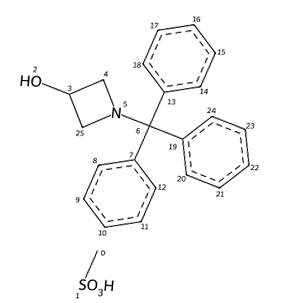 CS(=O)(=O)O.OC1CN(C(c2ccccc2)(c2ccccc2)c2ccccc2)C1